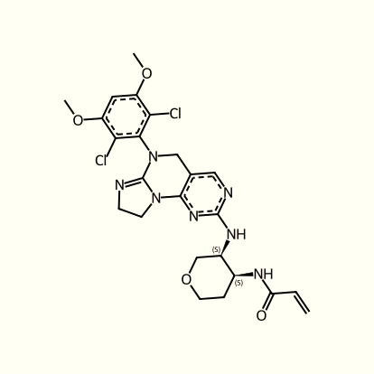 C=CC(=O)N[C@H]1CCOC[C@H]1Nc1ncc2c(n1)N1CCN=C1N(c1c(Cl)c(OC)cc(OC)c1Cl)C2